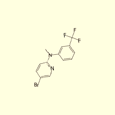 CN(c1cccc(C(F)(F)F)c1)c1ccc(Br)cn1